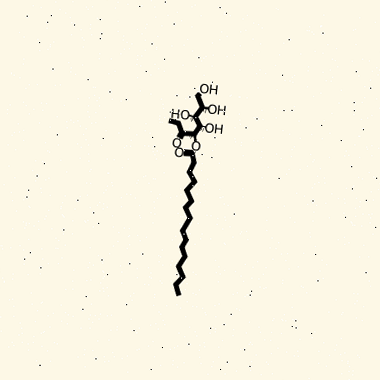 CCCCCCCCCCCCCCCC(=O)O[C@@H](C(=O)CC)[C@@H](O)[C@H](O)[C@H](O)CO